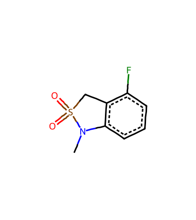 CN1c2cccc(F)c2CS1(=O)=O